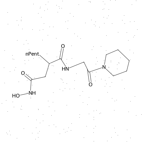 CCCCCC(CC(=O)NO)C(=O)NCC(=O)N1CCCCC1